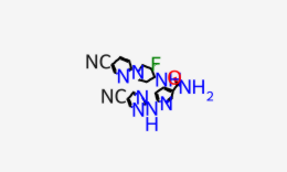 N#Cc1ccc(N2CC[C@@H](Nc3cc(Nc4ncc(C#N)cn4)ncc3C(N)=O)[C@@H](F)C2)nc1